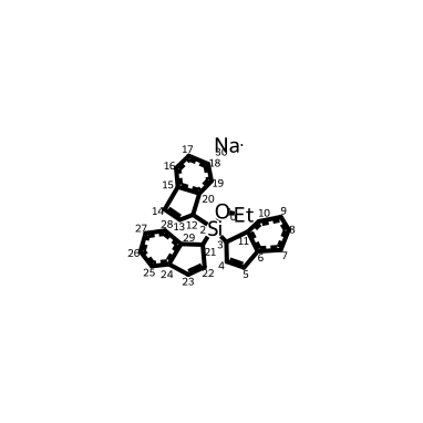 CCO[Si](C1C=Cc2ccccc21)(C1C=Cc2ccccc21)C1C=Cc2ccccc21.[Na]